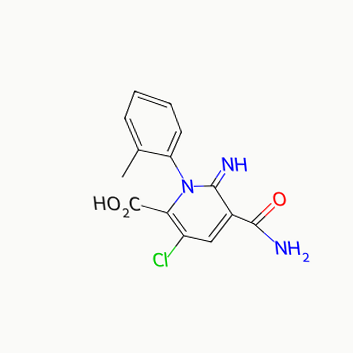 Cc1ccccc1-n1c(C(=O)O)c(Cl)cc(C(N)=O)c1=N